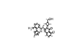 C[C@H](Nc1ncnc(N)c1-c1nnn(C)n1)c1nc2cccc(Cl)c2c(=O)n1C1CC(CO)C1